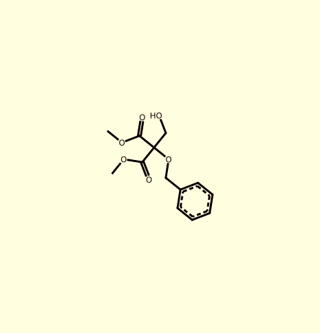 COC(=O)C(CO)(OCc1ccccc1)C(=O)OC